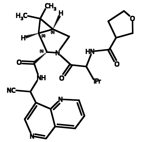 CC(C)C(NC(=O)C1CCOC1)C(=O)N1C[C@H]2[C@@H]([C@H]1C(=O)NC(C#N)c1cncc3cccnc13)C2(C)C